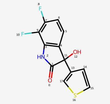 O=C1Nc2c(ccc(F)c2F)C1(O)c1ccsc1